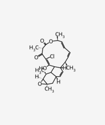 C[C@@H]1C(=O)O[C@@H](C)/C=C/C=C\[C@@H](C)[C@@H]2C=C[C@@H]3C[C@@]4(C)O[C@H]4[C@@H](C)C3C2/C(O)=C(\Cl)C1=O